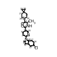 C[C@@H](NC(=O)c1ccc(-n2ncc3cc(Cl)ccc32)nc1)C(=O)N1CCC2(CC1)CC2